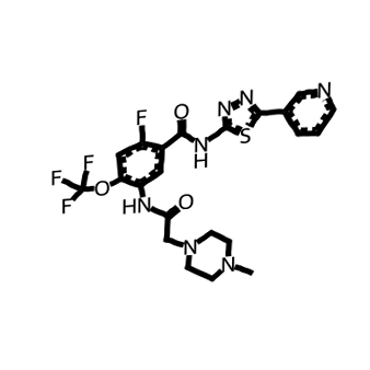 CN1CCN(CC(=O)Nc2cc(C(=O)Nc3nnc(-c4cccnc4)s3)c(F)cc2OC(F)(F)F)CC1